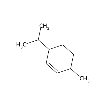 C[C]1C=CC(C(C)C)CC1